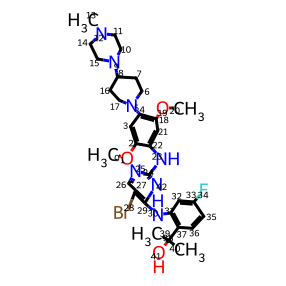 COc1cc(N2CCC(N3CCN(C)CC3)CC2)c(OC)cc1Nc1ncc(Br)c(Nc2cc(F)ccc2C(C)(C)O)n1